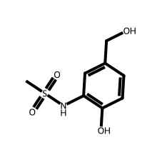 CS(=O)(=O)Nc1cc(CO)ccc1O